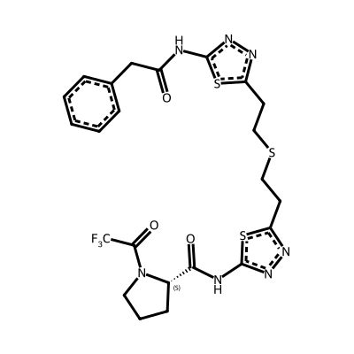 O=C(Cc1ccccc1)Nc1nnc(CCSCCc2nnc(NC(=O)[C@@H]3CCCN3C(=O)C(F)(F)F)s2)s1